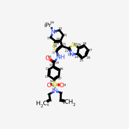 C=CCN(CC=C)S(=O)(=O)c1ccc(C(=O)Nc2sc3c(c2-c2nc4ccccc4s2)CCN(C(C)C)C3)cc1